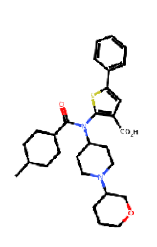 CC1CCC(C(=O)N(c2sc(-c3ccccc3)cc2C(=O)O)C2CCN(C3CCCOC3)CC2)CC1